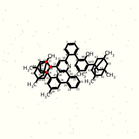 Cc1cc(-c2ccccc2-c2cc(N3CCCC3)cc(-c3ccccc3-c3cc(C)cc(C45CC6(C)CC(C)(CC(C)(C6)C4)C5)c3O)n2)c(O)c(C23CC4(C)CC(C)(CC(C)(C4)C2)C3)c1